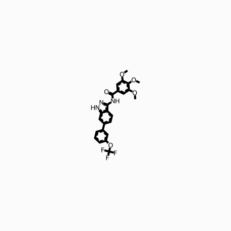 COc1cc(C(=O)Nc2n[nH]c3cc(-c4cccc(OC(F)(F)F)c4)ccc23)cc(OC)c1OC